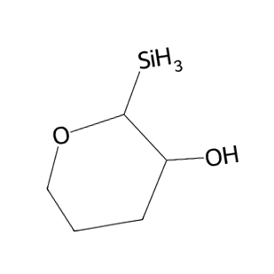 OC1CCCOC1[SiH3]